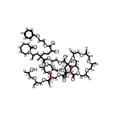 CCC(CCC(C)(CC(C)N1CCCCCC1=O)C(=O)OCCOC(=O)C(CCC(=O)OCC(C)OCC(C)OCC(C)OCC(C)OCC(C)OCC(C)O)(CCC(=O)OCC(C)OCC(C)OCC(C)OCC(C)OCC(C)OCC(C)O)C(C)=O)C(=O)OCCOc1ccccc1